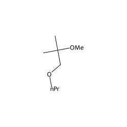 [CH2]OC(C)(C)COCCC